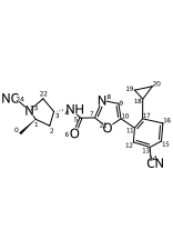 C[C@@H]1C[C@@H](NC(=O)c2ncc(-c3cc(C#N)ccc3C3CC3)o2)CN1C#N